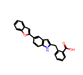 O=C(O)c1ccccc1Cc1cc2cc(-c3cc4ccccc4o3)ccc2[nH]1